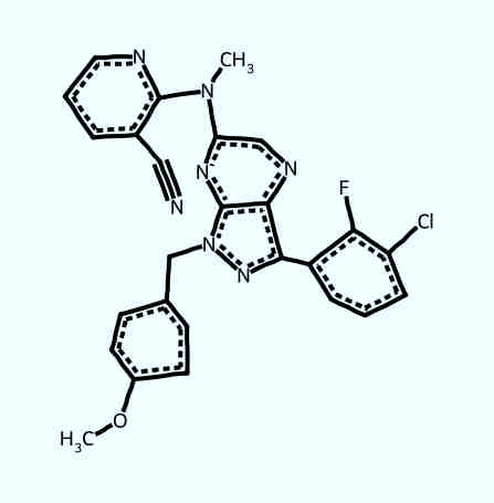 COc1ccc(Cn2nc(-c3cccc(Cl)c3F)c3ncc(N(C)c4ncccc4C#N)nc32)cc1